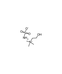 C[N+](C)(C)CCO.NS(=O)(=O)[O-]